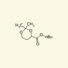 CCCCOC(=O)C1CCOC(C)(C)O1